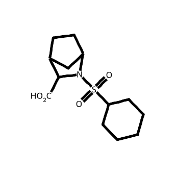 O=C(O)C1C2CCC(C2)N1S(=O)(=O)C1CCCCC1